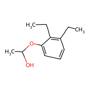 CCc1cccc(OC(C)O)c1CC